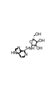 OC[C@H]1OC(NSc2nccc3[nH]cnc23)[C@H](O)[C@@H]1O